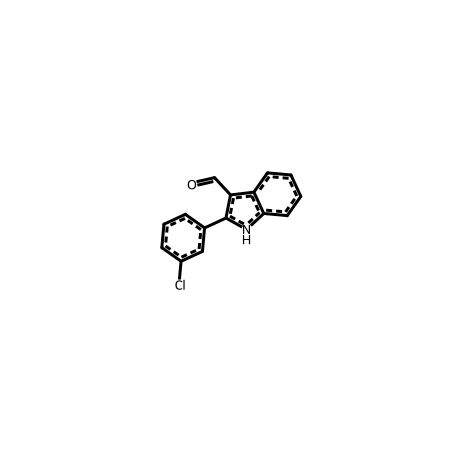 O=Cc1c(-c2cccc(Cl)c2)[nH]c2ccccc12